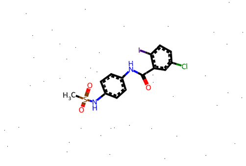 CS(=O)(=O)Nc1ccc(NC(=O)c2cc(Cl)ccc2I)cc1